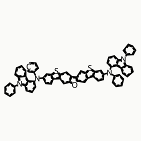 c1ccc(N(c2ccc3c(c2)sc2cc4c(cc23)oc2cc3c(cc24)sc2cc(N(c4ccccc4)c4cccc5c4c4ccccc4n5-c4ccccc4)ccc23)c2cccc3c2c2ccccc2n3-c2ccccc2)cc1